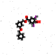 O=C(OCc1cccc(OCc2ccccc2)c1)c1cc(I)c(O)c(I)c1